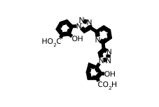 O=C(O)c1cccc(-n2cc(-c3cccc(-c4cn(-c5cccc(C(=O)O)c5O)nn4)n3)nn2)c1O